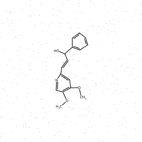 COc1cnc(/C=C/C(O)c2ccccc2)cc1OC